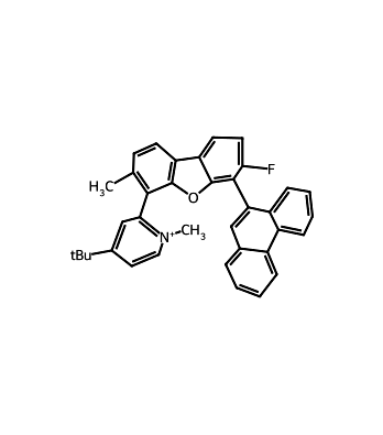 Cc1ccc2c(oc3c(-c4cc5ccccc5c5ccccc45)c(F)ccc32)c1-c1cc(C(C)(C)C)cc[n+]1C